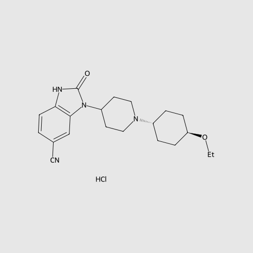 CCO[C@H]1CC[C@H](N2CCC(n3c(=O)[nH]c4ccc(C#N)cc43)CC2)CC1.Cl